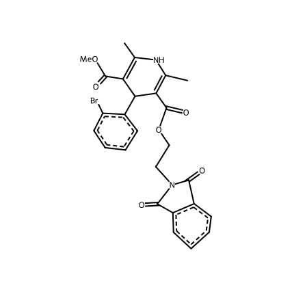 COC(=O)C1=C(C)NC(C)=C(C(=O)OCCN2C(=O)c3ccccc3C2=O)C1c1ccccc1Br